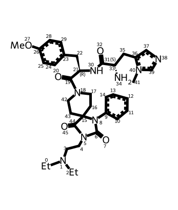 CCN(CC)CCN1C(=O)N(c2ccccc2)C2(CCN(C(=O)[C@@H](Cc3ccc(OC)cc3)NC(=O)[C@@H](N)Cc3cncn3C)CC2)C1=O